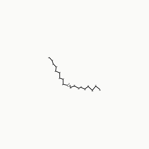 CCCCCCCC[CH2][Ca][CH2]CCCCCCCC